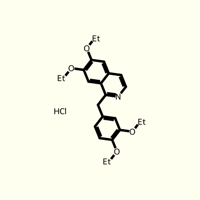 CCOc1ccc(Cc2nccc3cc(OCC)c(OCC)cc23)cc1OCC.Cl